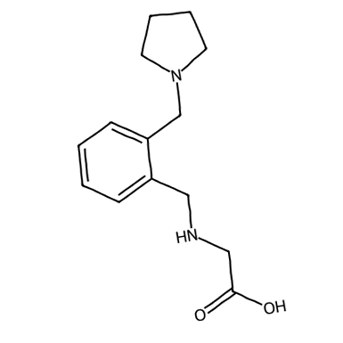 O=C(O)CNCc1ccccc1CN1CCCC1